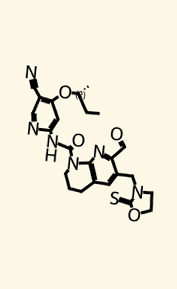 CC[C@@H](C)Oc1cc(NC(=O)N2CCCc3cc(CN4CCOC4=S)c(C=O)nc32)ncc1C#N